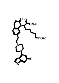 CCCCCCCCCCCCCCCC(C(=O)OC)N1C(=O)CCc2ccc(CCN3CCN(c4cc(F)cc5sccc45)CC3)cc21